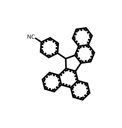 N#Cc1ccc(C2c3c(ccc4ccccc34)-c3c2c2ccccc2c2ccccc32)cc1